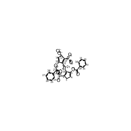 O=C(OC1=CCC(P(=O)=O)=[C]1[Zr+2][C]1=C(P(=O)=O)CC=C1OC(=O)c1ccccc1)c1ccccc1.[Cl-].[Cl-]